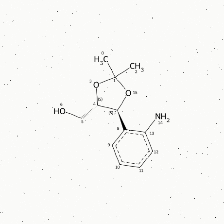 CC1(C)O[C@@H](CO)[C@H](c2ccccc2N)O1